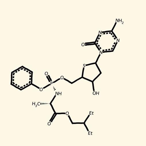 CCC(CC)COC(=O)[C@H](C)N[P@](=O)(OCC1SC(n2cnc(N)nc2=O)CC1O)Oc1ccccc1